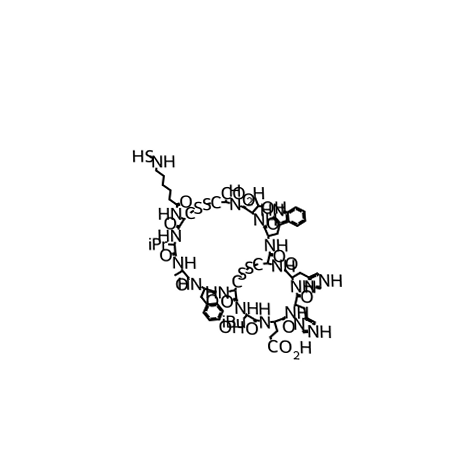 CCC(C)C1NC(=O)C2CSSCC(NC(=O)C(Cc3c[nH]cn3)NC(=O)C(Cc3c[nH]cn3)NC(=O)C(CCC(=O)O)NC1=O)C(=O)NC(Cc1c[nH]c3ccccc13)C(=O)NC(C(C)O)C(=O)NC(C(=O)O)CSSCC(NC(=O)CCCCCNS)C(=O)NC(C(C)C)C(=O)NC(C)C(=O)NC(Cc1ccc(O)cc1)C(=O)N2